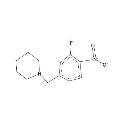 O=[N+]([O-])c1ccc(CN2CCCCC2)cc1F